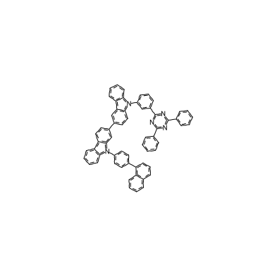 c1ccc(-c2nc(-c3ccccc3)nc(-c3cccc(-n4c5ccccc5c5cc(-c6ccc7c8ccccc8n(-c8ccc(-c9cccc%10ccccc9%10)cc8)c7c6)ccc54)c3)n2)cc1